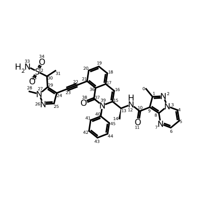 Cc1nn2cccnc2c1C(=O)N[C@@H](C)c1cc2cccc(C#Cc3cnn(C)c3C(C)S(N)(=O)=O)c2c(=O)n1-c1ccccc1